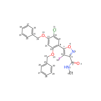 CCNC(=O)c1noc(-c2cc(Cl)c(OCc3ccccc3)cc2OCc2ccccc2)c1I